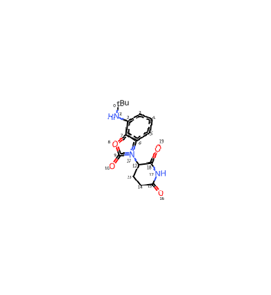 CC(C)(C)Nc1cccc2c1oc(=O)n2C1CCC(=O)NC1=O